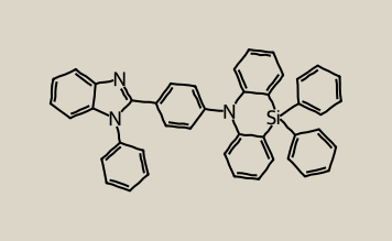 c1ccc(-n2c(-c3ccc(N4c5ccccc5[Si](c5ccccc5)(c5ccccc5)c5ccccc54)cc3)nc3ccccc32)cc1